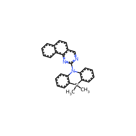 C[Si]1(C)c2ccccc2N(c2ncc3ccc4ccccc4c3n2)c2ccccc21